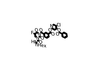 CCCCCCNC(=O)n1cc(F)c(=O)n(C(=O)c2cccc(C(=O)Oc3cc(OC(=O)c4ccccc4)c(Cl)cn3)c2)c1=O